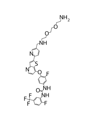 NCCOCCOCCNCc1ccc(-c2cc3nccc(Oc4ccc(NC(=O)Nc5cc(C(F)(F)F)ccc5F)cc4F)c3s2)nc1